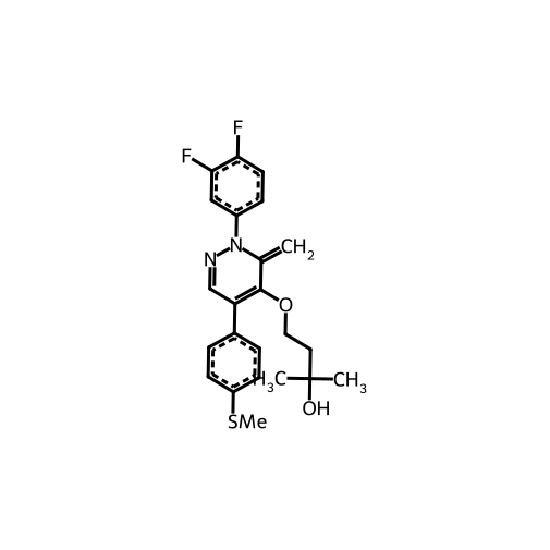 C=C1C(OCCC(C)(C)O)=C(c2ccc(SC)cc2)C=NN1c1ccc(F)c(F)c1